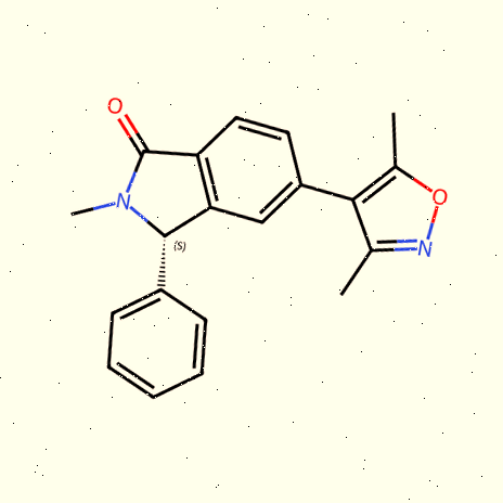 Cc1noc(C)c1-c1ccc2c(c1)[C@H](c1ccccc1)N(C)C2=O